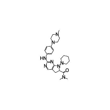 CN1CCN(c2ccc(Nc3ncc4c(n3)N(N3CCCCC3)C(C(=O)N(C)C)C4)cc2)CC1